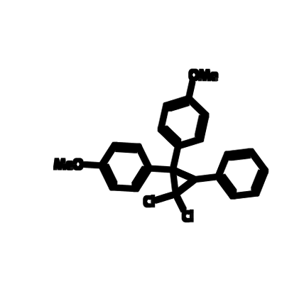 COc1ccc(C2(c3ccc(OC)cc3)C(c3ccccc3)C2(Cl)Cl)cc1